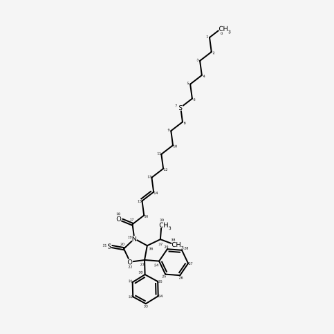 CCCCCCCSCCCCCCC=CCC(=O)N1C(=S)OC(c2ccccc2)(c2ccccc2)C1C(C)C